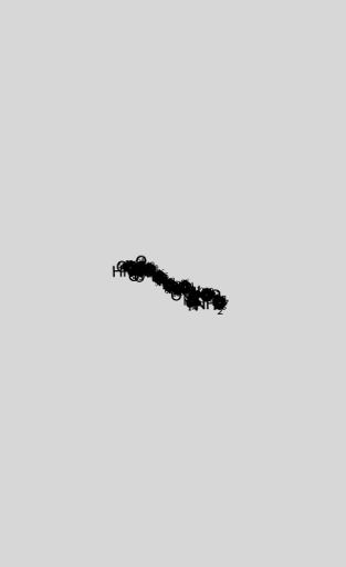 Nc1ncnc2c1c(-c1ccc(Oc3ccccc3)cc1)nn2[C@@H]1CCCN(C(=O)N2CCC(N3CCN(c4ccc5c(c4)C(=O)N(C4CCC(=O)NC4=O)C5=O)CC3)CC2)C1